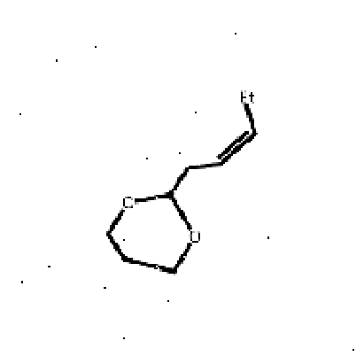 CC/C=C\CC1OCCCO1